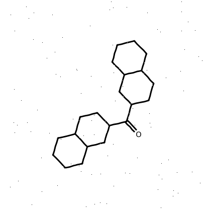 O=C(C1CCC2CCCCC2C1)C1CCC2CCCCC2C1